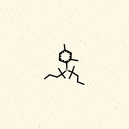 CCCC(C)(C)P(c1ccc(C)cc1C)C(C)(C)CCC